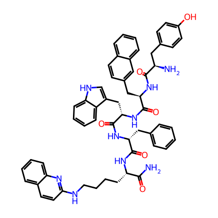 NC(=O)[C@H](CCCCNc1ccc2ccccc2n1)NC(=O)[C@@H](Cc1ccccc1)NC(=O)[C@H](Cc1c[nH]c2ccccc12)NC(=O)[C@@H](Cc1ccc2ccccc2c1)NC(=O)[C@H](N)Cc1ccc(O)cc1